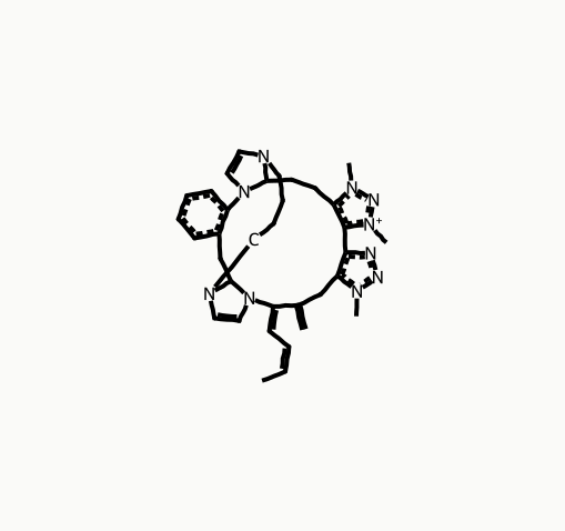 C=C1Cc2c(nnn2C)-c2c(n(C)n[n+]2C)CCC2N3C=CN2c2ccccc2CC2N(C=CN2/C1=C/C=C\C)CCCC3